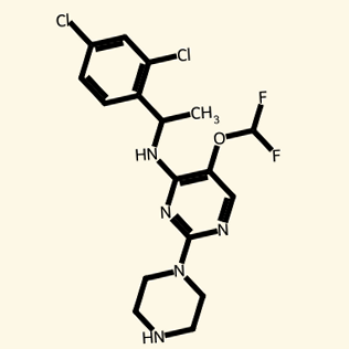 CC(Nc1nc(N2CCNCC2)ncc1OC(F)F)c1ccc(Cl)cc1Cl